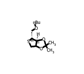 CCCCOC[C@H]1SCC2OC(C)(C)O[C@@H]21